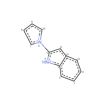 c1ccc2[nH]c(-n3cccc3)cc2c1